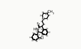 CN1CCN(CCC2C(=S)NC(c3ccccc3Cl)c3ccccc32)CC1